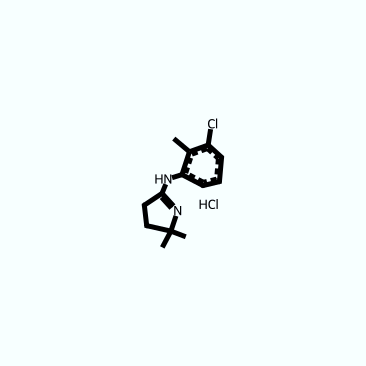 Cc1c(Cl)cccc1NC1=NC(C)(C)CC1.Cl